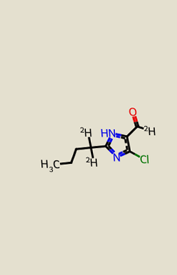 [2H]C(=O)c1[nH]c(C([2H])([2H])CCC)nc1Cl